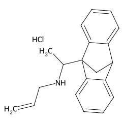 C=CCNC(C)C12CC(c3ccccc31)c1ccccc12.Cl